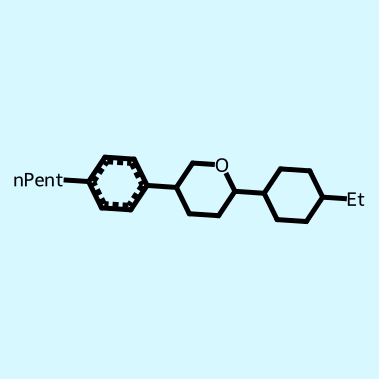 CCCCCc1ccc(C2CCC(C3CCC(CC)CC3)OC2)cc1